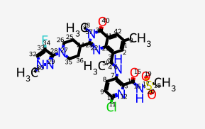 Cc1cc([C@@H](C)Nc2ccc(Cl)nc2C(=O)NS(C)(=O)=O)c2nc(C3CCN(c4nn(C)cc4F)CC3)n(C)c(=O)c2c1